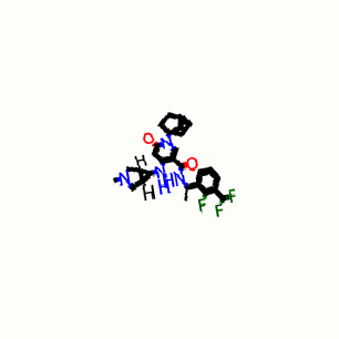 C[C@@H](NC(=O)c1cn(C23CCC(CC2)C3)c(=O)cc1NC1[C@H]2CN(C)C[C@@H]12)c1cccc(C(F)F)c1F